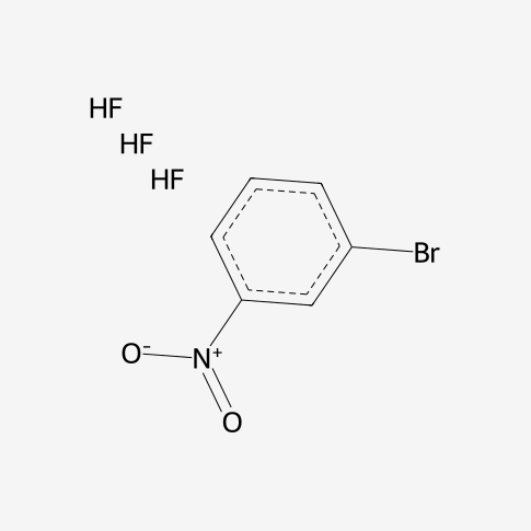 F.F.F.O=[N+]([O-])c1cccc(Br)c1